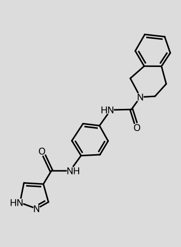 O=C(Nc1ccc(NC(=O)N2CCc3ccccc3C2)cc1)c1cn[nH]c1